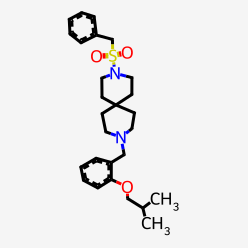 CC(C)COc1ccccc1CN1CCC2(CC1)CCN(S(=O)(=O)Cc1ccccc1)CC2